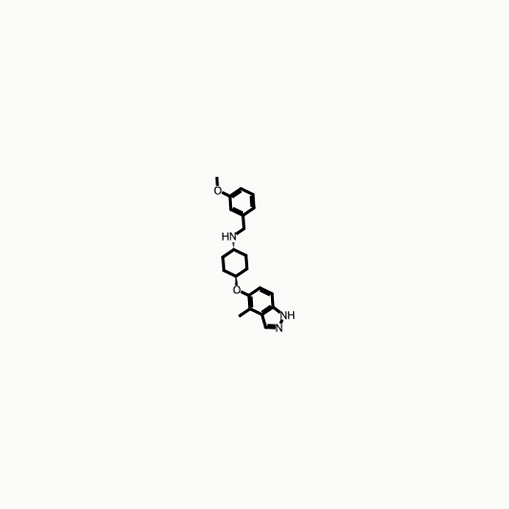 COc1cccc(CN[C@H]2CC[C@H](Oc3ccc4[nH]ncc4c3C)CC2)c1